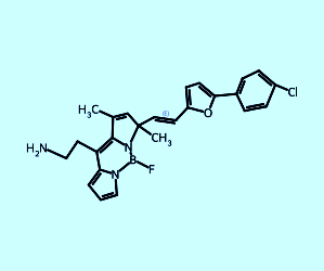 CC1=CC(C)(/C=C/c2ccc(-c3ccc(Cl)cc3)o2)N2B(F)n3cccc3C(CCN)=C12